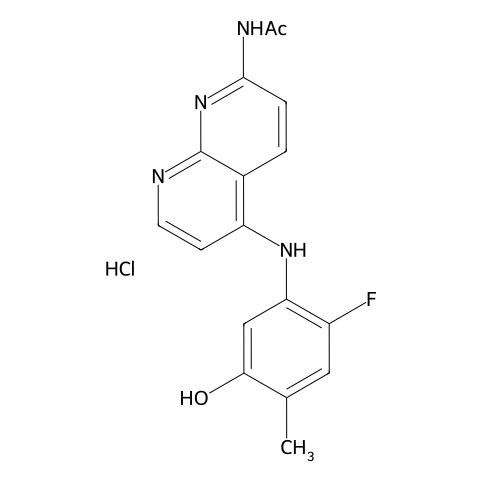 CC(=O)Nc1ccc2c(Nc3cc(O)c(C)cc3F)ccnc2n1.Cl